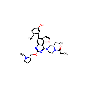 C=CC(=O)N1CCN(c2nc(OC[C@@H]3CCCN3C)nc3cc(-c4cc(O)ccc4C(F)(F)F)c4ccoc4c23)C[C@@H]1CC#N